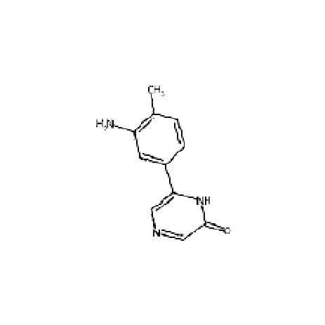 Cc1ccc(-c2cncc(=O)[nH]2)cc1N